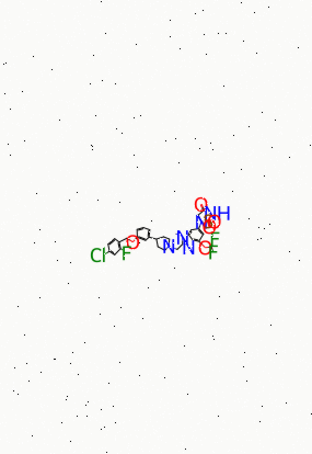 Cn1c(CN2CCC(c3cccc(OCc4ccc(Cl)cc4F)c3)CC2)nc2c(OC(F)F)cc(N3CC(=O)NS3(=O)=O)cc21